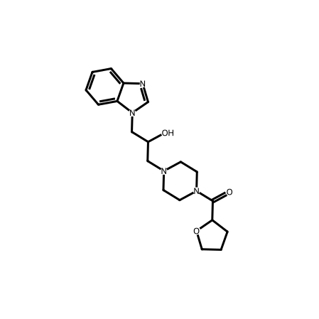 O=C(C1CCCO1)N1CCN(CC(O)Cn2cnc3ccccc32)CC1